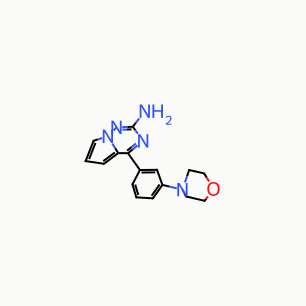 Nc1nc(-c2cccc(N3CCOCC3)c2)c2cccn2n1